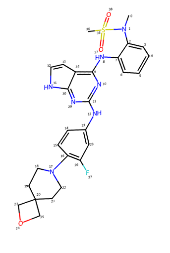 CN(c1ccccc1Nc1nc(Nc2ccc(N3CCC4(CC3)COC4)c(F)c2)nc2[nH]ccc12)S(C)(=O)=O